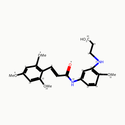 COc1cc(OC)c(/C=C/C(=O)Nc2ccc(OC)c(NCCC(=O)O)c2)c(OC)c1